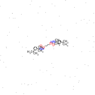 C=C(C)c1ccc(C(C)(C)NC(=O)OCCCCOC(=O)NC(C)(C)c2cccc(C(=C)C)c2)cc1